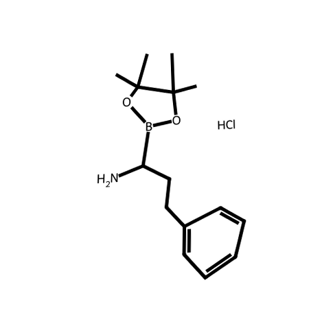 CC1(C)OB(C(N)CCc2ccccc2)OC1(C)C.Cl